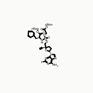 C#C[C@@]1(COP(=O)(N[C@@H](Cc2ccccc2)C(=O)OCCCCCCCCC)OCC(=O)OCCCCCCCCC)CC[C@H](n2cnc3c(N)nc(F)nc32)O1